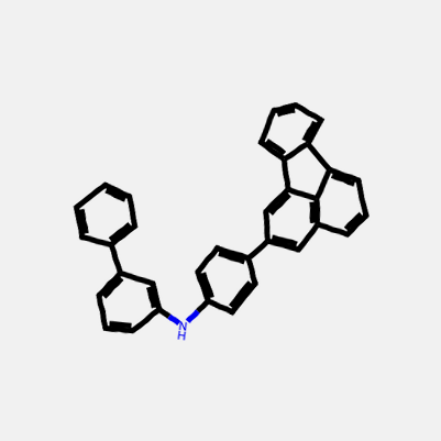 c1ccc(-c2cccc(Nc3ccc(-c4cc5c6c(cccc6c4)-c4ccccc4-5)cc3)c2)cc1